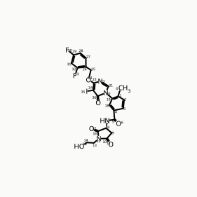 Cc1ccc(C(=O)N[C@H]2CC(=O)N(CCO)C2=O)cc1-n1cnc(OCc2ccc(F)cc2F)c(I)c1=O